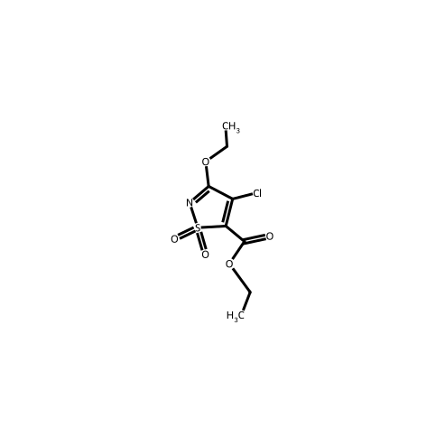 CCOC(=O)C1=C(Cl)C(OCC)=NS1(=O)=O